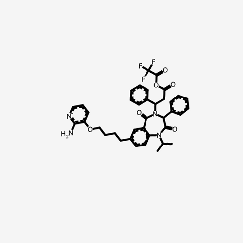 CC(C)N1C(=O)C(c2ccccc2)N(C(CC(=O)OC(=O)C(F)(F)F)c2ccccc2)C(=O)c2cc(CCCCOc3cccnc3N)ccc21